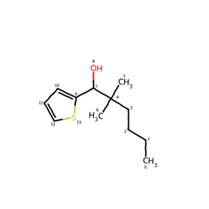 CCCCC(C)(C)C(O)c1cccs1